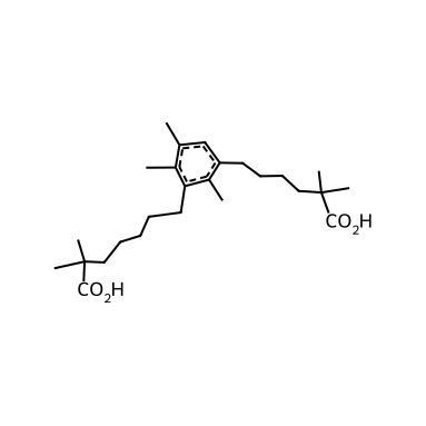 Cc1cc(CCCCC(C)(C)C(=O)O)c(C)c(CCCCCC(C)(C)C(=O)O)c1C